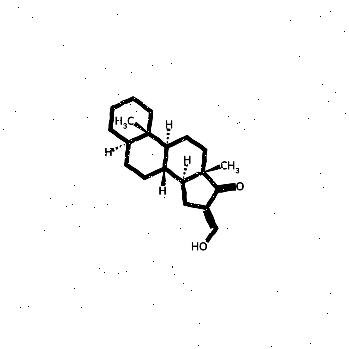 C[C@]12CCCC[C@@H]1CC[C@@H]1[C@@H]2CC[C@]2(C)C(=O)C(=CO)C[C@@H]12